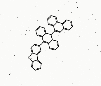 C1=CC2=C(c3ccc4oc5ccccc5c4c3)c3ccccc3C(c3cc4ccccc4c4ccccc34)C2C=C1